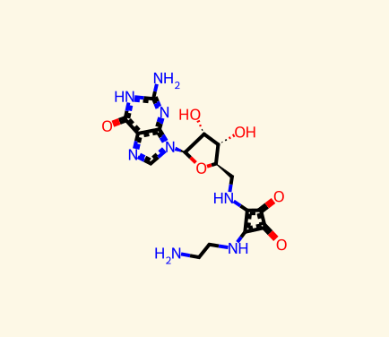 NCCNc1c(NC[C@H]2O[C@@H](n3cnc4c(=O)[nH]c(N)nc43)[C@H](O)[C@@H]2O)c(=O)c1=O